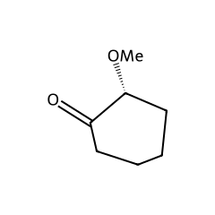 CO[C@@H]1CCCCC1=O